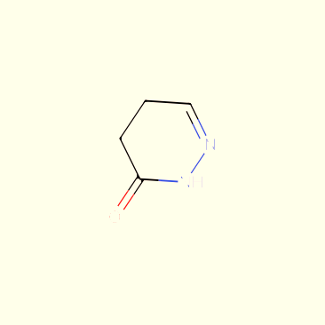 O=C1[CH]CC=NN1